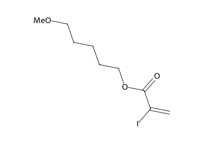 C=C(I)C(=O)OCCCCCOC